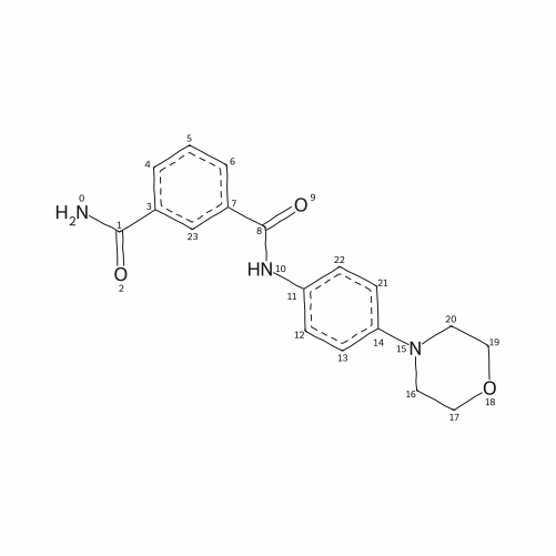 NC(=O)c1cccc(C(=O)Nc2ccc(N3CCOCC3)cc2)c1